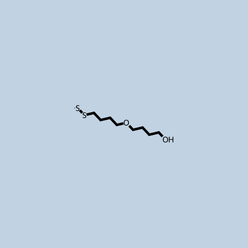 OCCCCOCCCCS[S]